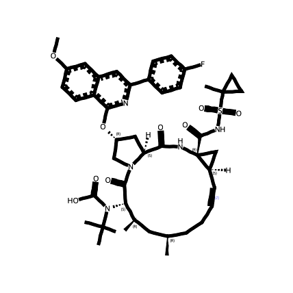 COc1ccc2c(O[C@@H]3C[C@H]4C(=O)N[C@]5(C(=O)NS(=O)(=O)C6(C)CC6)C[C@H]5/C=C\CC[C@@H](C)C[C@@H](C)[C@H](N(C(=O)O)C(C)(C)C)C(=O)N4C3)nc(-c3ccc(F)cc3)cc2c1